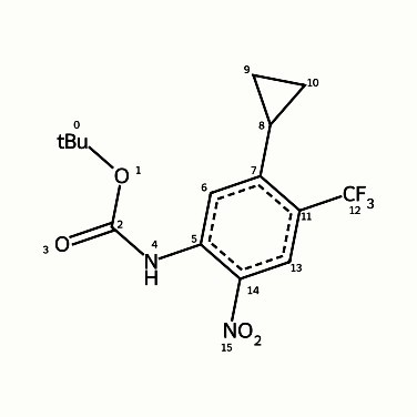 CC(C)(C)OC(=O)Nc1cc(C2CC2)c(C(F)(F)F)cc1[N+](=O)[O-]